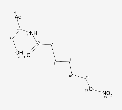 CC(=O)C(CO)NC(=O)CCCCCO[N+](=O)[O-]